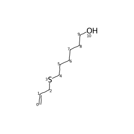 C=CCSCCCCCCO